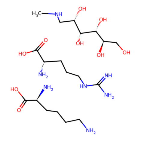 CNC[C@H](O)[C@@H](O)[C@H](O)[C@H](O)CO.N=C(N)NCCC[C@H](N)C(=O)O.NCCCC[C@H](N)C(=O)O